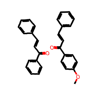 COc1ccc(C(=O)C=Cc2ccccc2)cc1.O=C(C=Cc1ccccc1)c1ccccc1